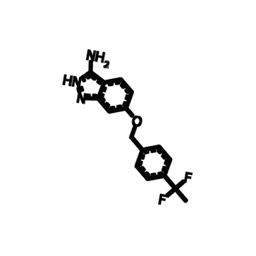 CC(F)(F)c1ccc(COc2ccc3c(N)[nH]nc3c2)cc1